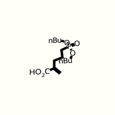 C=C(CCCP(=O)(OCCCC)OCCCC)C(=O)O